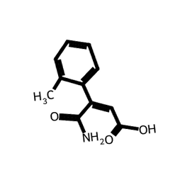 Cc1ccccc1/C(=C/C(=O)O)C(N)=O